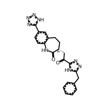 O=C(C[C@H]1CCc2cc(-c3nnn[nH]3)ccc2NC1=O)c1nnc(Cc2ccccc2)[nH]1